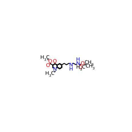 CCOC(=O)c1cn(CC)c2ccc(CCCNCCNC(=O)OC(C)(C)C)cc2c1=O